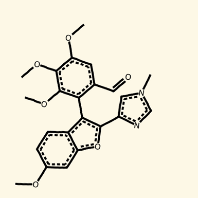 COc1ccc2c(-c3c(C=O)cc(OC)c(OC)c3OC)c(-c3cn(C)cn3)oc2c1